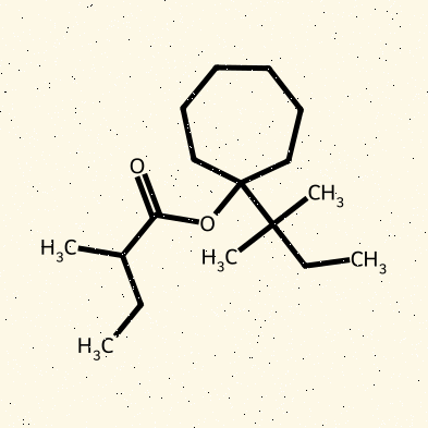 CCC(C)C(=O)OC1(C(C)(C)CC)CCCCCC1